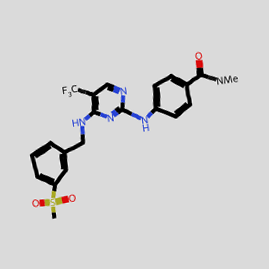 CNC(=O)c1ccc(Nc2ncc(C(F)(F)F)c(NCc3cccc(S(C)(=O)=O)c3)n2)cc1